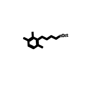 CCCCCCCCCCCCc1c(C)ccc(C)c1C